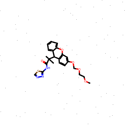 COCCOCOc1ccc2c(c1)Oc1ccccc1C2C(C)(C)C(=O)Nc1nncs1